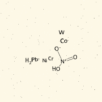 O=[N+]([O-])O.[Co].[Cr].[Ni].[PbH2].[W]